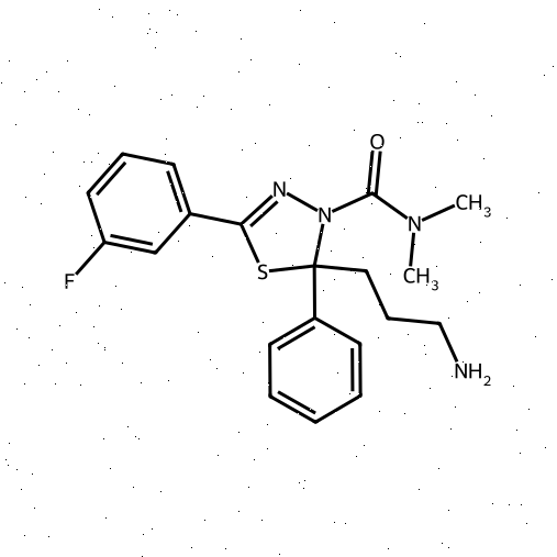 CN(C)C(=O)N1N=C(c2cccc(F)c2)SC1(CCCN)c1ccccc1